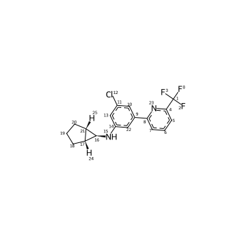 FC(F)(F)c1cccc(-c2cc(Cl)cc(N[C@H]3[C@@H]4CCC[C@@H]43)c2)n1